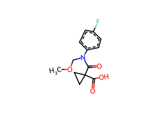 COCN(C(=O)C1(C(=O)O)CC1)c1ccc(F)cc1